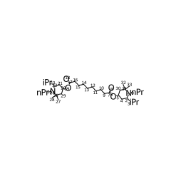 CCCN1C(C(C)C)CC(OC(=O)CCCCCCCCC(=O)OC2CC(C(C)C)N(CCC)C(C)(C)C2)CC1(C)C